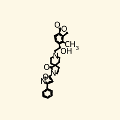 Cc1c(C(O)CN2CCC3(CC2)CCN(c2cc(-c4ccccc4)no2)C3=O)ccc2c1COC2=O